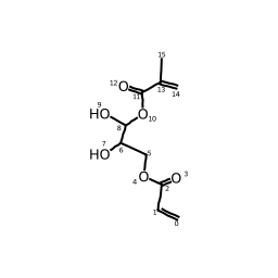 C=CC(=O)OCC(O)C(O)OC(=O)C(=C)C